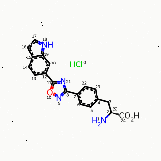 Cl.N[C@@H](Cc1ccc(-c2noc(-c3ccc4cc[nH]c4c3)n2)cc1)C(=O)O